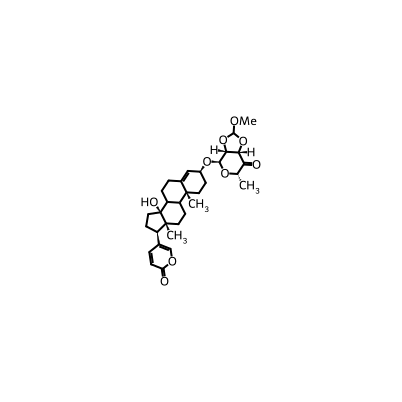 COC1O[C@H]2[C@H](O[C@@H]3C=C4CCC5C(CC[C@]6(C)[C@@H](c7ccc(=O)oc7)CC[C@]56O)[C@@]4(C)CC3)O[C@@H](C)C(=O)[C@H]2O1